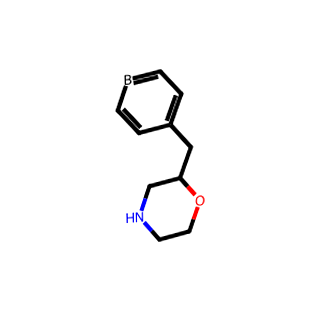 b1ccc(CC2CNCCO2)cc1